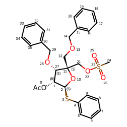 CC(=O)O[C@H]1[C@H](Sc2ccccc2)O[C@@](COCc2ccccc2)(COS(C)(=O)=O)[C@H]1OCc1ccccc1